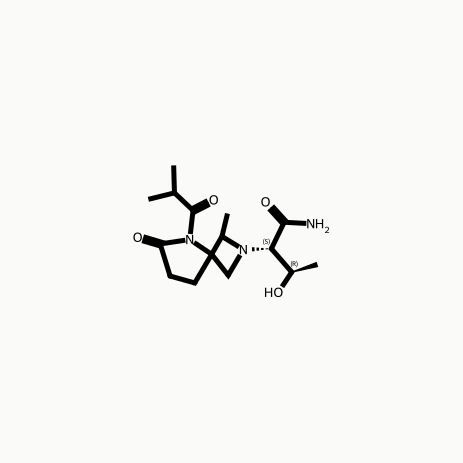 CC(C)C(=O)N1C(=O)CCC12CN([C@H](C(N)=O)[C@@H](C)O)C2C